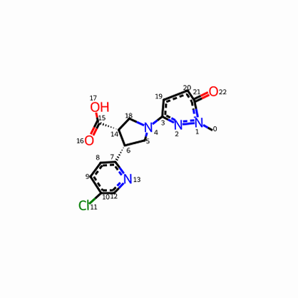 Cn1nc(N2C[C@H](c3ccc(Cl)cn3)[C@H](C(=O)O)C2)ccc1=O